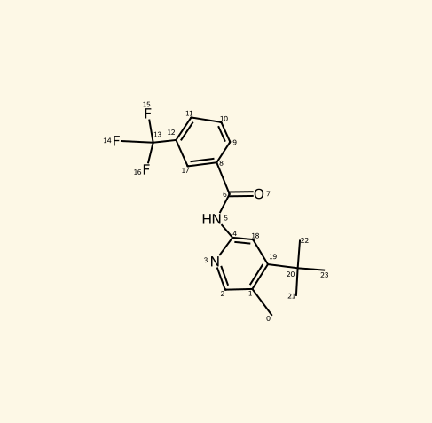 Cc1cnc(NC(=O)c2cccc(C(F)(F)F)c2)cc1C(C)(C)C